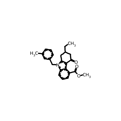 CCC1CC(=O)c2c(n(Cc3cccc(C)c3)c3cccc(C(=O)OC)c23)C1